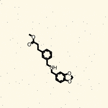 COC(=O)CCc1cccc(CNCc2ccc3c(c2)OCO3)c1